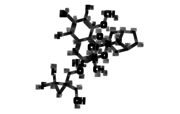 COc1c(F)c(Br)c(F)c2nc(OCC3(CO)CC3(F)F)nc(N3CC4CCC(C3)N4C(=O)OC(C)(C)C)c12